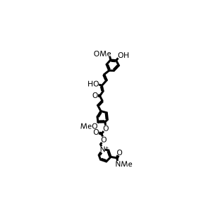 CNC(=O)c1ccc[n+](COC(=O)Oc2ccc(/C=C/C(=O)/C=C(O)/C=C/c3ccc(O)c(OC)c3)cc2OC)c1